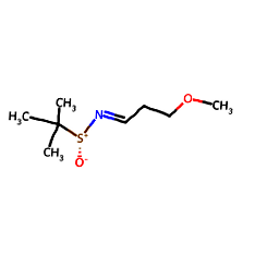 COCC/C=N/[S@+]([O-])C(C)(C)C